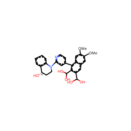 COc1cc2cc(C(O)O)c(C(O)O)c(-c3ccnc(N4CC[C@H](O)c5ccccc54)c3)c2cc1OC